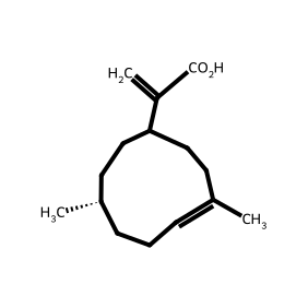 C=C(C(=O)O)C1CC/C(C)=C/CC[C@H](C)CC1